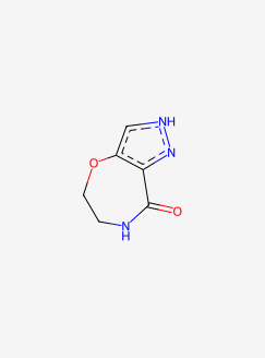 O=C1NCCOc2c[nH]nc21